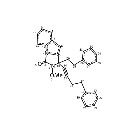 CON1C(=O)n2c(cc3ccccc32)C1(C#CCCc1ccccc1)CCc1ccccc1